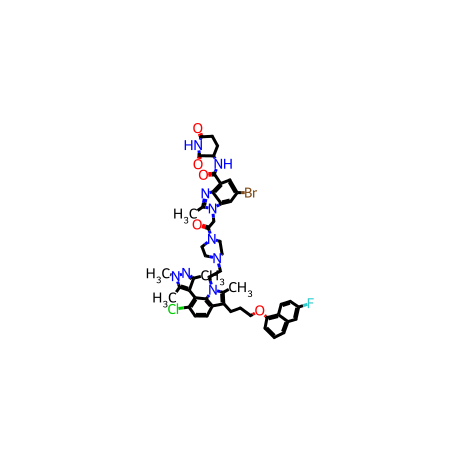 Cc1nn(C)c(C)c1-c1c(Cl)ccc2c(CCCOc3cccc4cc(F)ccc34)c(C)n(CCN3CCN(C(=O)Cn4c(C)nc5c(C(=O)NC6CCC(=O)NC6=O)cc(Br)cc54)CC3)c12